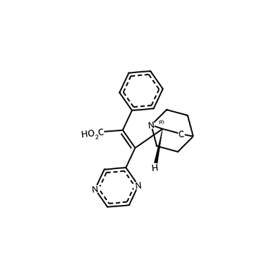 O=C(O)C(=C(c1cnccn1)[C@H]1CC2CCN1CC2)c1ccccc1